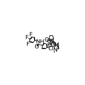 CN1C=CN(C[C@@]2(O)CC3CCC2[C@@H]3S(=O)(=O)c2cc(C(=O)Nc3cc(F)c(F)c(F)c3)ccc2Cl)C1